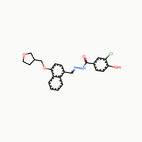 O=C(N/N=C/c1ccc(OCC2CCOC2)c2ccccc12)c1ccc(O)c(Cl)c1